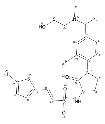 CC(c1ccc(N2CCC(NS(=O)(=O)C=Cc3ccc(Cl)s3)C2=O)c(F)c1)N(C)CCO